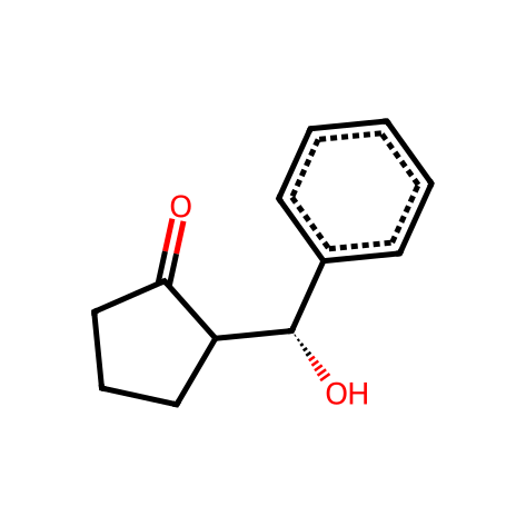 O=C1CCCC1[C@@H](O)c1ccccc1